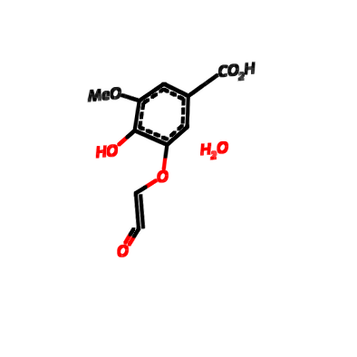 COc1cc(C(=O)O)cc(OC=C=O)c1O.O